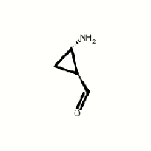 N[C@H]1C[C@@H]1C=O